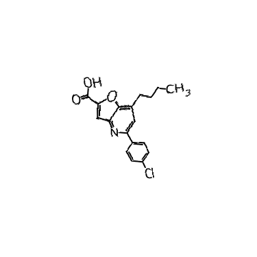 CCCCc1cc(-c2ccc(Cl)cc2)nc2cc(C(=O)O)oc12